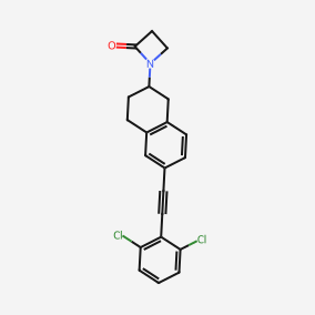 O=C1CCN1C1CCc2cc(C#Cc3c(Cl)cccc3Cl)ccc2C1